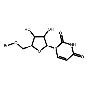 O=c1ccn([C@H]2O[C@@H](COBr)C(O)C2O)c(=O)[nH]1